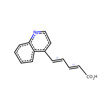 O=C(O)/C=C/C=C/c1ccnc2ccccc12